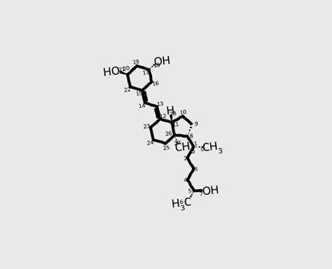 C[C@H](CCC[C@@H](C)O)[C@H]1CC[C@H]2/C(=C/C=C3C[C@@H](O)C[C@H](O)C3)CCC[C@]12C